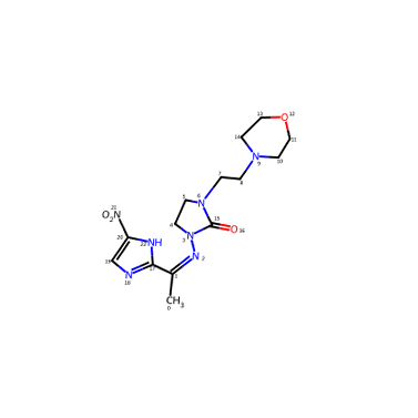 CC(=NN1CCN(CCN2CCOCC2)C1=O)c1ncc([N+](=O)[O-])[nH]1